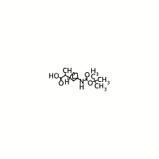 CC(C(=O)O)[C@@H]1CC2(NC(=O)OC(C)(C)C)CC1C2